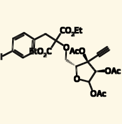 C#C[C@@]1(OC(C)=O)[C@@H](COC(Cc2ccc(I)cc2)(C(=O)OCC)C(=O)OCC)OC(OC(C)=O)[C@@H]1OC(C)=O